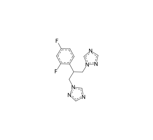 Fc1ccc(C(Cn2cncn2)Cn2cncn2)c(F)c1